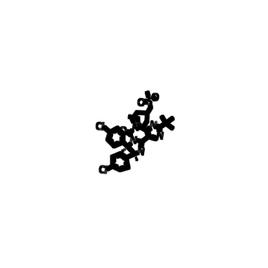 CCOc1nc(C(C)(C)C)ncc1C1=N[C@@](C)(c2ccc(Cl)cc2)[C@@](C)(c2ccc(Cl)cc2)N1C(=O)N1CCC(CS(C)(=O)=O)CC1